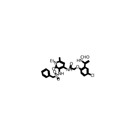 C=C(NC=O)c1cc(Cl)ccc1OCC(=O)Nc1cc(C)n(CC)c(=O)c1NS(=O)(=O)Cc1ccccc1